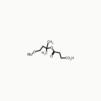 CC(C)(C)OCCC(C)(C)OC(=O)CCC(=O)O